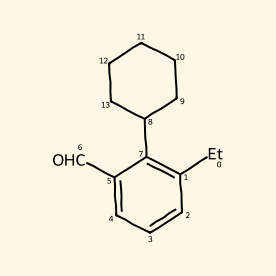 CCc1cccc(C=O)c1C1CCCCC1